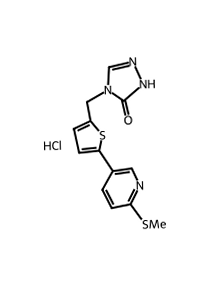 CSc1ccc(-c2ccc(Cn3cn[nH]c3=O)s2)cn1.Cl